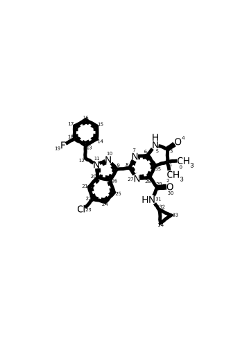 CC1(C)C(=O)Nc2nc(-c3nn(Cc4ccccc4F)c4cc(Cl)ccc34)nc(C(=O)NC3CC3)c21